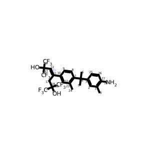 Cc1cc(C(C)(C)c2ccc(/C(=C/C(O)(C(F)(F)F)C(F)(F)F)CC(O)(C(F)(F)F)C(F)(F)F)cc2C)ccc1N